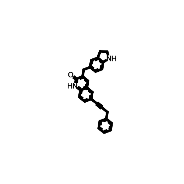 O=c1[nH]c2ccc(C#CCc3ccccc3)cc2cc1Cc1ccc2c(c1)CCN2